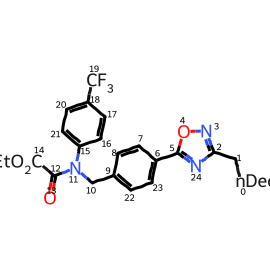 CCCCCCCCCCCc1noc(-c2ccc(CN(C(=O)C(=O)OCC)c3ccc(C(F)(F)F)cc3)cc2)n1